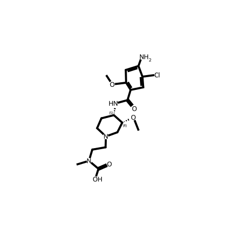 COc1cc(N)c(Cl)cc1C(=O)N[C@H]1CCN(CCN(C)C(=O)O)C[C@H]1OC